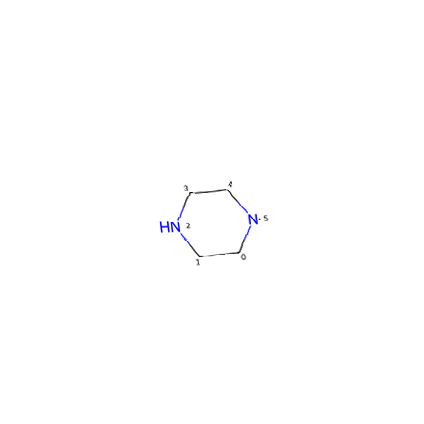 C1CNCC[N]1